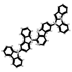 c1ccc2c(c1)cc1n(-c3ccc4oc5c(-n6c7ccccc7c7cc(-n8c9ccccc9c9ccccc98)ccc76)nccc5c4c3)c3ccccc3n21